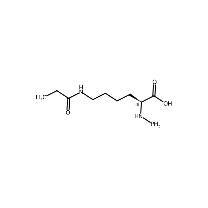 CCC(=O)NCCCC[C@H](NP)C(=O)O